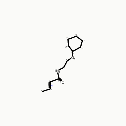 C/C=C/C(=O)NCCOC1CCCCC1